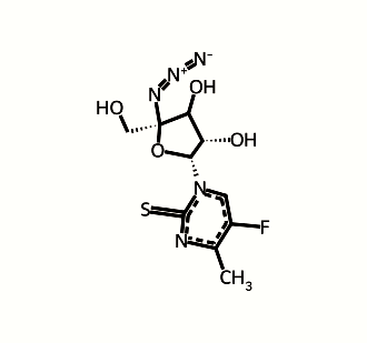 Cc1nc(=S)n([C@@H]2O[C@@](CO)(N=[N+]=[N-])C(O)[C@@H]2O)cc1F